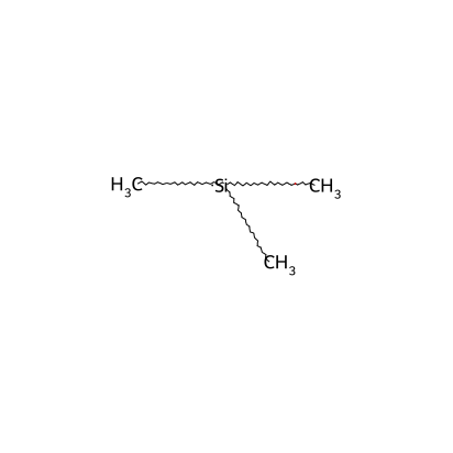 CCCCCCCCCCCCCCCCCCCCCC[Si](CCCCCCCCCCCCCCCCCCCCCC)CCCCCCCCCCCCCCCCCCCCCC